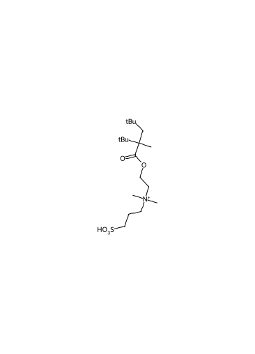 CC(C)(C)CC(C)(C(=O)OCC[N+](C)(C)CCCS(=O)(=O)O)C(C)(C)C